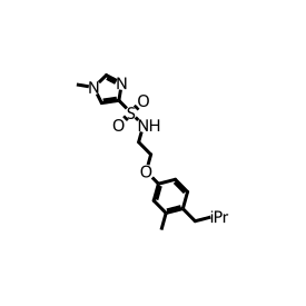 Cc1cc(OCCNS(=O)(=O)c2cn(C)cn2)ccc1CC(C)C